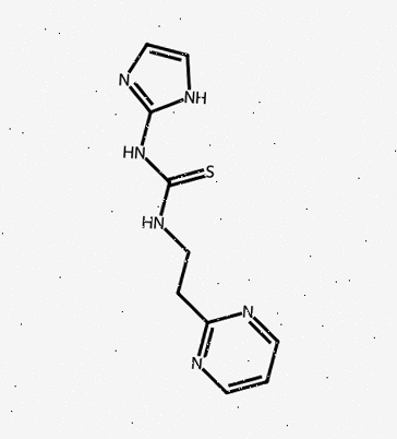 S=C(NCCc1ncccn1)Nc1ncc[nH]1